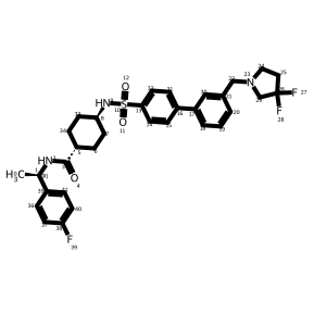 C[C@@H](NC(=O)[C@H]1CC[C@H](NS(=O)(=O)c2ccc(-c3cccc(CN4CCC(F)(F)C4)c3)cc2)CC1)c1ccc(F)cc1